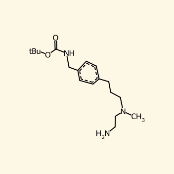 CN(CCN)CCCc1ccc(CNC(=O)OC(C)(C)C)cc1